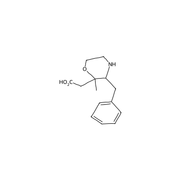 CC1(CC(=O)O)OCCNC1Cc1ccccc1